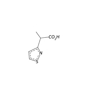 CC(C(=O)O)c1ccsn1